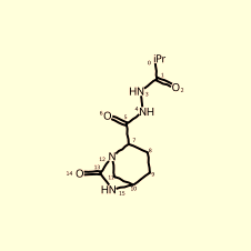 CC(C)C(=O)NNC(=O)C1CCC2CN1C(=O)N2